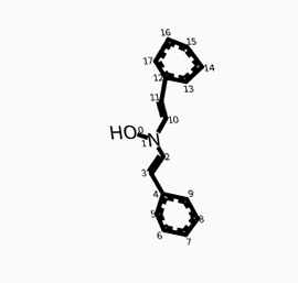 ON(C=Cc1ccccc1)C=Cc1ccccc1